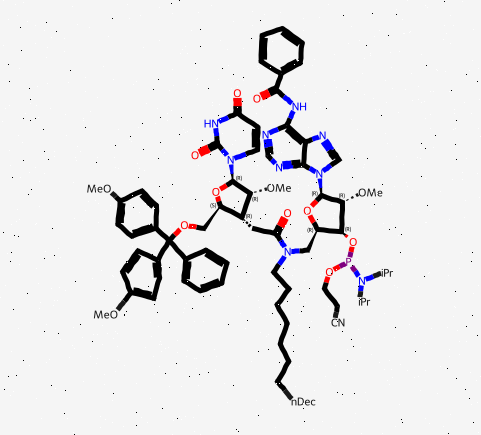 CCCCCCCCCCCCCCCCCN(C[C@H]1O[C@@H](n2cnc3c(NC(=O)c4ccccc4)ncnc32)[C@H](OC)[C@@H]1OP(OCCC#N)N(C(C)C)C(C)C)C(=O)C[C@H]1[C@@H](OC)[C@H](n2ccc(=O)[nH]c2=O)O[C@@H]1COC(c1ccccc1)(c1ccc(OC)cc1)c1ccc(OC)cc1